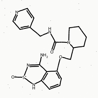 NC1=N[S+]([O-])Nc2cccc(OCC3CCCCN3C(=O)NCc3ccncc3)c21